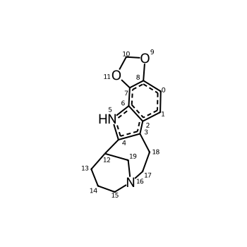 c1cc2c3c([nH]c2c2c1OCO2)C1CCCN(CC3)C1